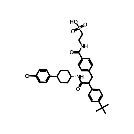 CC(C)(C)c1ccc(C(Cc2ccc(C(=O)NCCS(=O)(=O)O)cc2)C(=O)N[C@H]2CC[C@H](c3ccc(Cl)cc3)CC2)cc1